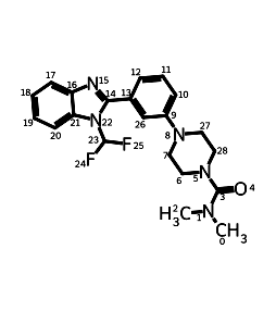 CN(C)C(=O)N1CCN(c2cccc(-c3nc4ccccc4n3C(F)F)c2)CC1